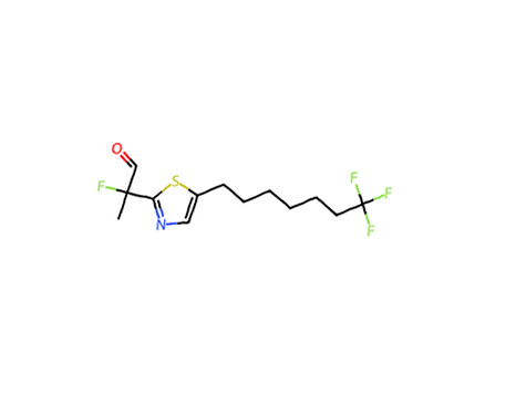 CC(F)(C=O)c1ncc(CCCCCCC(F)(F)F)s1